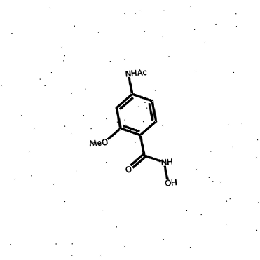 COc1cc(NC(C)=O)ccc1C(=O)NO